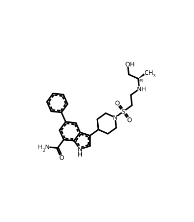 C[C@H](CO)NCCS(=O)(=O)N1CCC(c2c[nH]c3c(C(N)=O)cc(-c4ccccc4)cc23)CC1